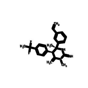 C=Cc1cccc([C@@]2(C)NC(=N)N(C)C(=C)[C@H]2c2ccc(C(C)(F)F)cc2)c1